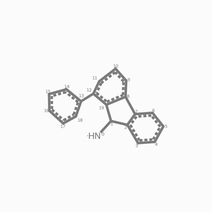 [NH]C1c2ccccc2-c2cccc(-c3ccccc3)c21